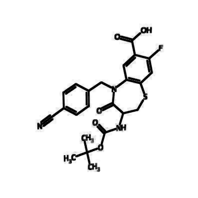 CC(C)(C)OC(=O)NC1CSc2cc(F)c(C(=O)O)cc2N(Cc2ccc(C#N)cc2)C1=O